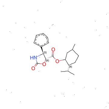 CC1CC[C@H](C(C)C)C(OC(=O)[C@@H]2OC(=O)N[C@H]2c2ccccc2)C1